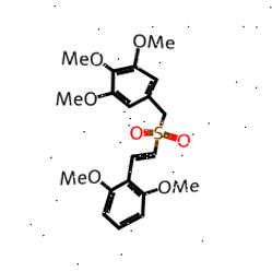 COc1cccc(OC)c1/C=C/S(=O)(=O)Cc1cc(OC)c(OC)c(OC)c1